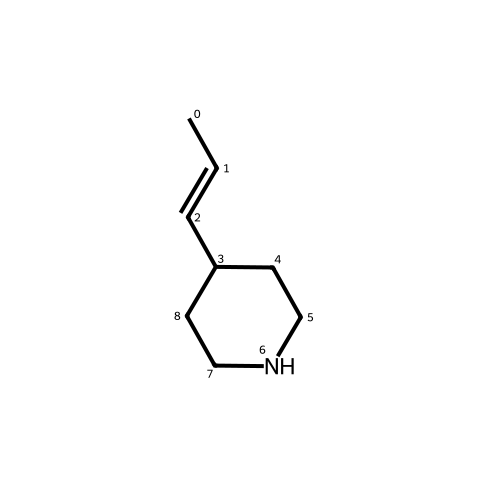 CC=CC1CCNCC1